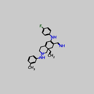 C=CC12CC(C=N)=C(Nc3ccc(F)cc3)C=C1CCN(Nc1cccc(C)c1)C2